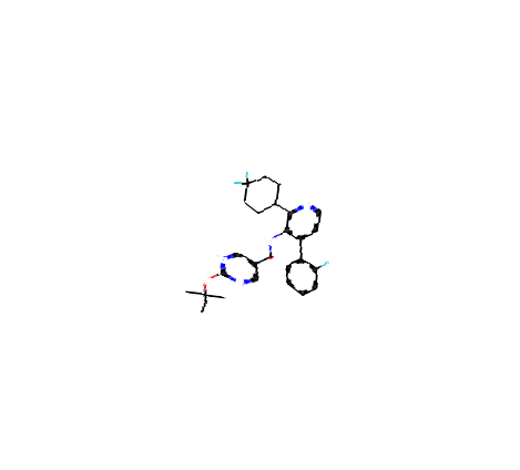 CC(C)(C)Oc1ncc(C(=O)Nc2c(-c3ccccc3F)ccnc2C2CCC(F)(F)CC2)cn1